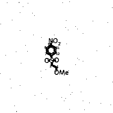 COCCS(=O)(=O)c1ccc([N+](=O)[O-])cc1